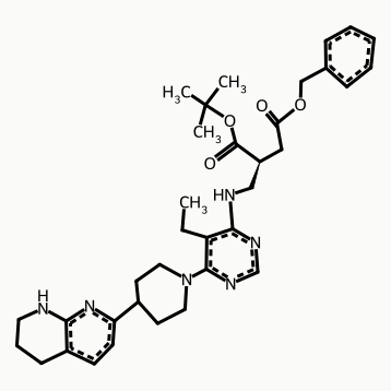 CCc1c(NC[C@H](CC(=O)OCc2ccccc2)C(=O)OC(C)(C)C)ncnc1N1CCC(c2ccc3c(n2)NCCC3)CC1